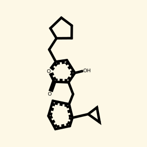 O=c1oc(CC2CCCC2)cc(O)c1Cc1ccccc1C1CC1